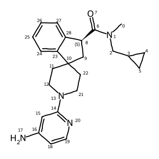 CN(CC1CC1)C(=O)[C@H]1CC2(CCN(c3cc(N)ccn3)CC2)c2ccccc21